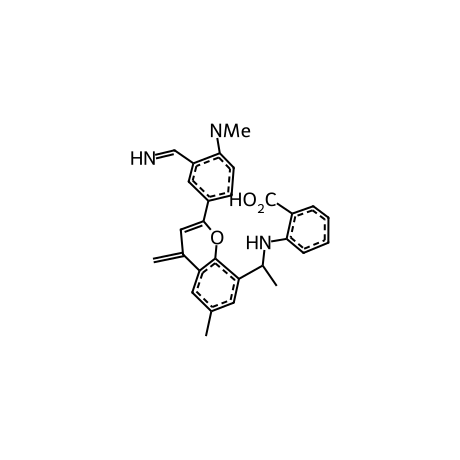 C=C1C=C(c2ccc(NC)c(C=N)c2)Oc2c1cc(C)cc2C(C)Nc1ccccc1C(=O)O